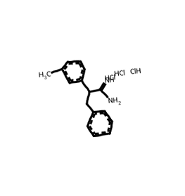 Cc1cccc(C(Cc2ccccc2)C(=N)N)c1.Cl.Cl.Cl